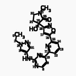 CCn1cc(Nc2nccc(-c3cccc(-c4cc([C@]5(O)CCN(C)C5=O)no4)n3)n2)cn1